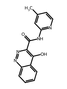 Cc1ccnc(NC(=O)c2nnc3ccccc3c2O)c1